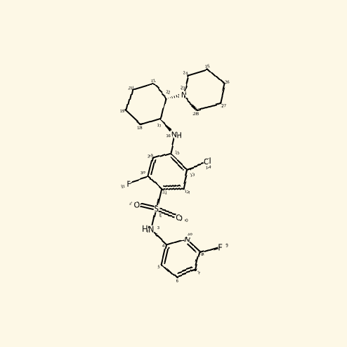 O=S(=O)(Nc1cccc(F)n1)c1cc(Cl)c(N[C@H]2CCCC[C@@H]2N2CCCCC2)cc1F